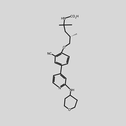 C[C@H](COc1ccc(-c2ccnc(NC3CCOCC3)c2)cc1C#N)CC(C)(C)NC(=O)O